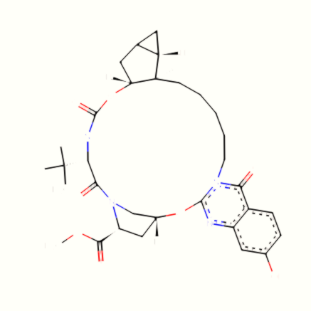 COC(=O)[C@@H]1C[C@@H]2CN1C(=O)[C@H](C(C)(C)C)NC(=O)O[C@@H]1CC3C[C@@H]3[C@H]1CCCCCn1c(nc3cc(O)ccc3c1=O)O2